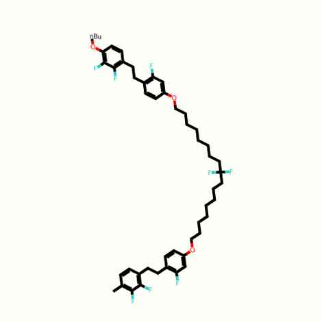 CCCCOc1ccc(CCc2ccc(OCCCCCCCCC(F)(F)CCCCCCCCOc3ccc(CCc4ccc(C)c(F)c4F)c(F)c3)cc2F)c(F)c1F